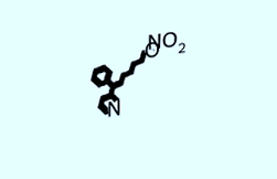 O=[N+]([O-])OCCCCC/C=C(\c1ccccc1)c1cccnc1